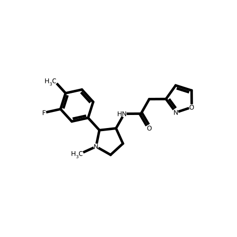 Cc1ccc(C2C(NC(=O)Cc3ccon3)CCN2C)cc1F